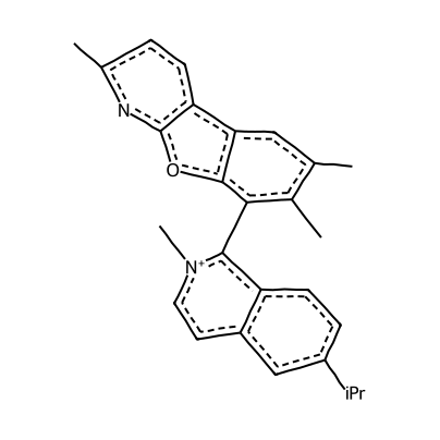 Cc1ccc2c(n1)oc1c(-c3c4ccc(C(C)C)cc4cc[n+]3C)c(C)c(C)cc12